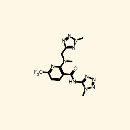 CN(Cc1nnn(C)n1)c1nc(C(F)(F)F)ccc1C(=O)Nc1nnnn1C